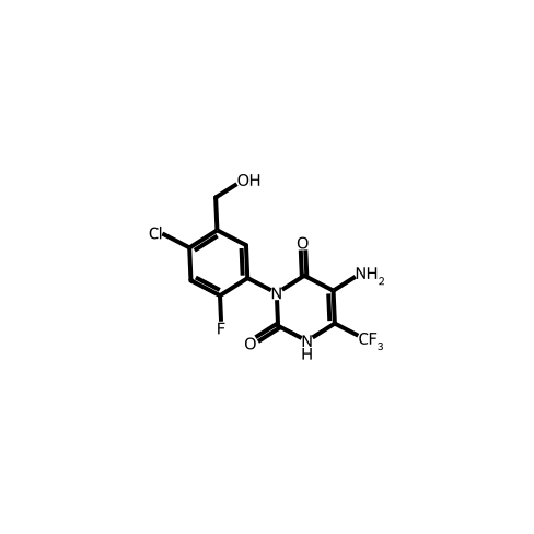 Nc1c(C(F)(F)F)[nH]c(=O)n(-c2cc(CO)c(Cl)cc2F)c1=O